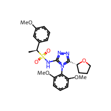 COc1cccc([C@H](C)S(=O)(=O)Nc2nnc([C@H]3CCCO3)n2-c2c(OC)cccc2OC)c1